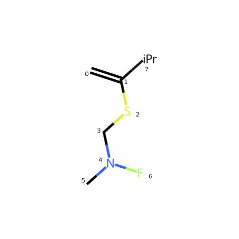 C=C(SCN(C)F)C(C)C